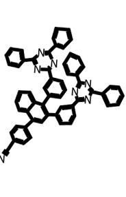 N#Cc1ccc(-c2cc(-c3cccc(-c4nc(-c5ccccc5)nc(-c5ccccc5)n4)c3)c(-c3cccc(-c4nc(-c5ccccc5)nc(-c5ccccc5)n4)c3)c3ccccc23)cc1